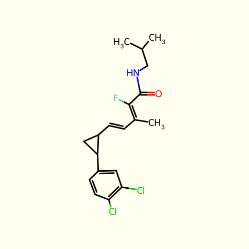 CC(C=CC1CC1c1ccc(Cl)c(Cl)c1)=C(F)C(=O)NCC(C)C